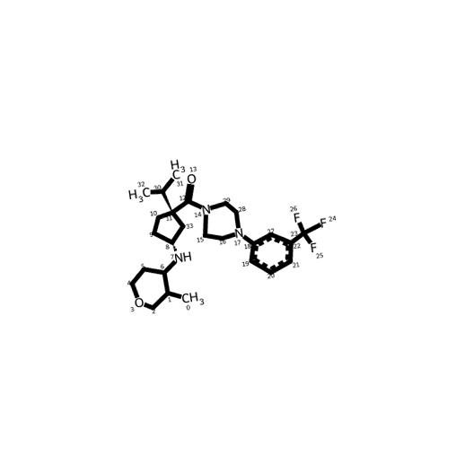 CC1COCCC1N[C@@H]1CC[C@@](C(=O)N2CCN(c3cccc(C(F)(F)F)c3)CC2)(C(C)C)C1